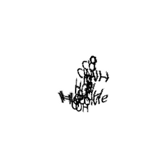 CO[C@H](COP(=O)(O)CP(=O)(O)O)[C@@H](O)[C@@H](O)n1ncc2c(NCCc3ccccc3Cl)nc(Cl)nc21